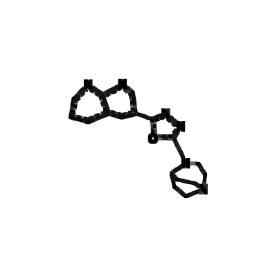 c1cnc2ncc(-c3nnc(N4CCN5CCC4CC5)o3)cc2c1